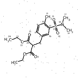 CCOC(=O)C(Cc1ccc(C)c(S(=O)(=O)N(C)C)c1)C(=O)OCC